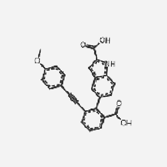 COc1ccc(C#Cc2cccc(C(=O)O)c2-c2ccc3[nH]c(C(=O)O)cc3c2)cc1